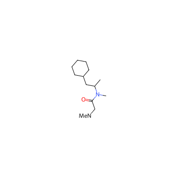 CNCC(=O)N(C)C(C)CC1CCCCC1